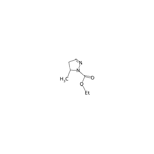 CCOC(=O)N1N=CCC1C